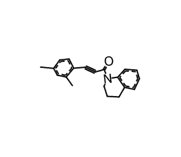 Cc1ccc(C#CC(=O)N2CCCc3ccccc32)c(C)c1